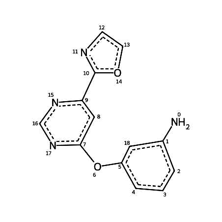 Nc1cccc(Oc2cc(-c3ncco3)ncn2)c1